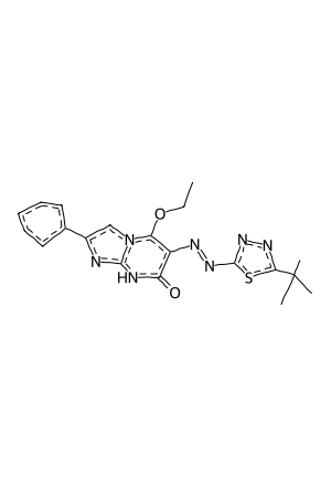 CCOc1c(/N=N/c2nnc(C(C)(C)C)s2)c(=O)[nH]c2nc(-c3ccccc3)cn12